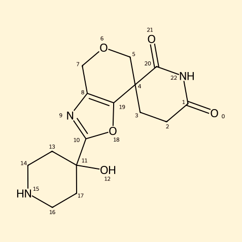 O=C1CCC2(COCc3nc(C4(O)CCNCC4)oc32)C(=O)N1